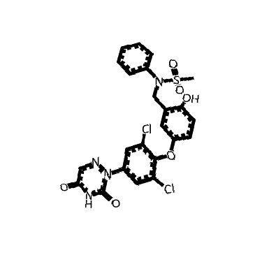 CS(=O)(=O)N(Cc1cc(Oc2c(Cl)cc(-n3ncc(=O)[nH]c3=O)cc2Cl)ccc1O)c1ccccc1